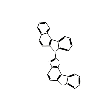 c1ccc2c(c1)ccc1c2c2ccccc2n1-c1nc2ccc3sc4ccccc4c3c2o1